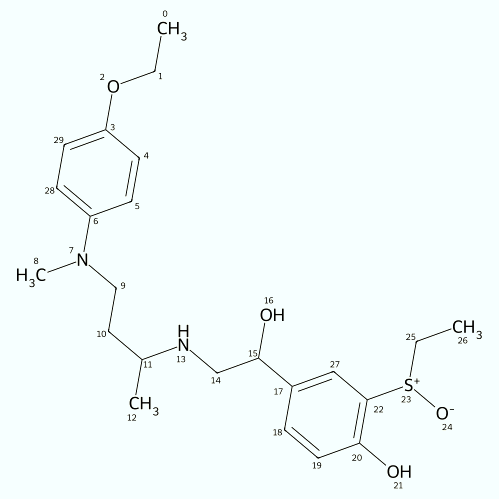 CCOc1ccc(N(C)CCC(C)NCC(O)c2ccc(O)c([S+]([O-])CC)c2)cc1